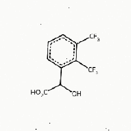 O=C(O)C(O)c1cccc(C(F)(F)F)c1C(F)(F)F